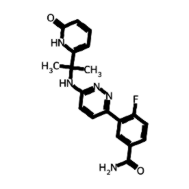 CC(C)(Nc1ccc(-c2cc(C(N)=O)ccc2F)nn1)c1cccc(=O)[nH]1